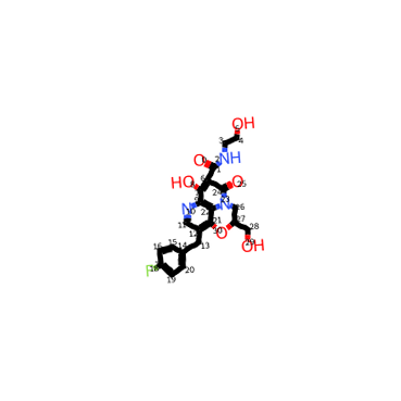 O=C(NCCO)c1c(O)c2ncc(Cc3ccc(F)cc3)c3c2n(c1=O)CC(CO)O3